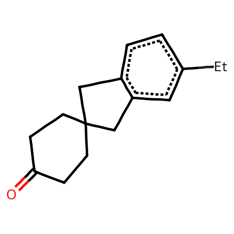 CCc1ccc2c(c1)CC1(CCC(=O)CC1)C2